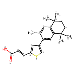 Cc1cc2c(cc1-c1csc(C=CC(=O)O)c1)C(C)(C)CCC2(C)C